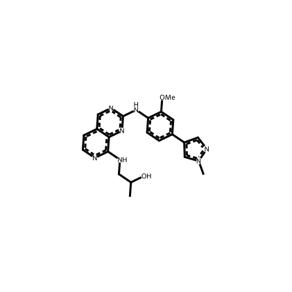 COc1cc(-c2cnn(C)c2)ccc1Nc1ncc2ccnc(NCC(C)O)c2n1